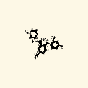 Cc1ccc(-c2nnc(NC3CCCN(C)C3)c3cc(C#N)ccc23)c(O)c1